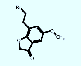 COc1cc(CCBr)c2c(c1)C(=O)CO2